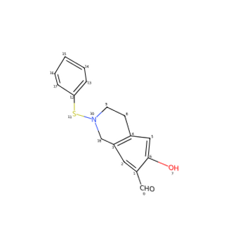 O=Cc1cc2c(cc1O)CCN(Sc1ccccc1)C2